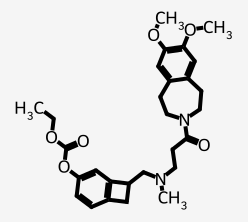 CCOC(=O)Oc1ccc2c(c1)C(CN(C)CCC(=O)N1CCc3cc(OC)c(OC)cc3CC1)C2